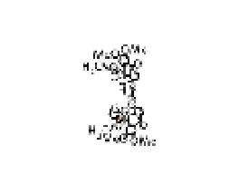 C=CCOC(=O)N1c2cc(OC)c(OC)cc2C(=O)N2CC[C@H](OCCCO[C@H]3CCN4C(=O)c5cc(OC)c(OC)cc5N(C(=O)OCC=C)C(OC5CCCCO5)C34)C2C1C